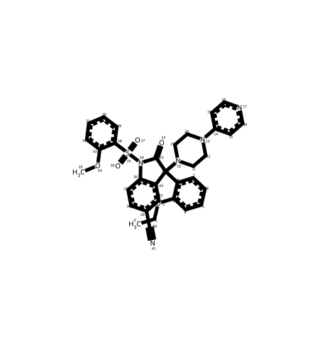 CCOc1ccccc1C1(N2CCN(c3ccncc3)CC2)C(=O)N(S(=O)(=O)c2ccccc2OC)c2ccc(C#N)cc21